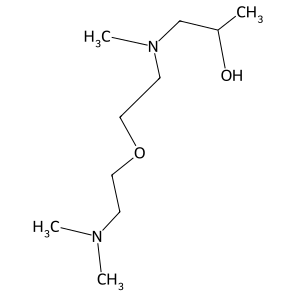 CC(O)CN(C)CCOCCN(C)C